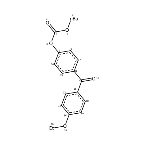 CCCCOC(=O)Oc1ccc(C(=O)c2ccc(OCC)cc2)cc1